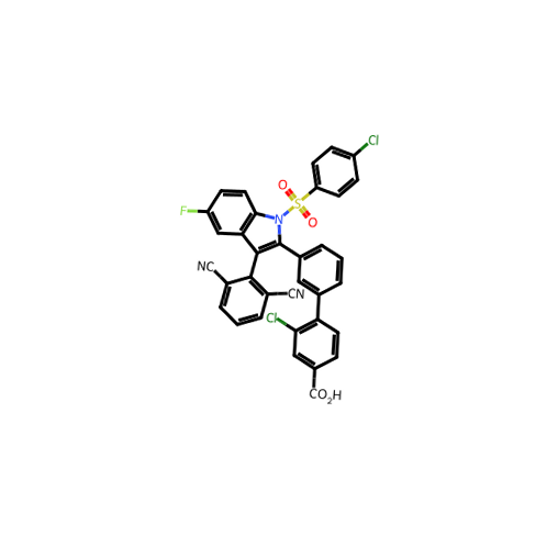 N#Cc1cccc(C#N)c1-c1c(-c2cccc(-c3ccc(C(=O)O)cc3Cl)c2)n(S(=O)(=O)c2ccc(Cl)cc2)c2ccc(F)cc12